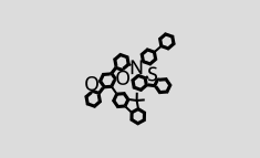 CC1(C)c2ccccc2-c2ccc(-c3c4oc5c(N(c6ccc(-c7ccccc7)cc6)c6cccc7c6sc6ccccc67)cccc5c4cc4oc5ccccc5c34)cc21